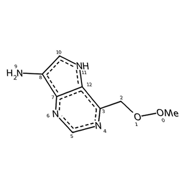 COOCc1ncnc2c(N)c[nH]c12